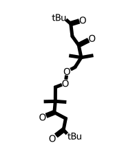 CC(C)(C)C(=O)CC(=O)C(C)(C)COOCC(C)(C)C(=O)CC(=O)C(C)(C)C